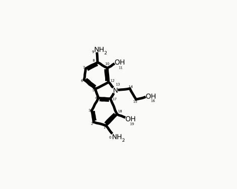 Nc1ccc2c3ccc(N)c(O)c3n(CCO)c2c1O